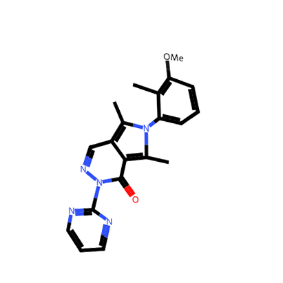 COc1cccc(-n2c(C)c3cnn(-c4ncccn4)c(=O)c3c2C)c1C